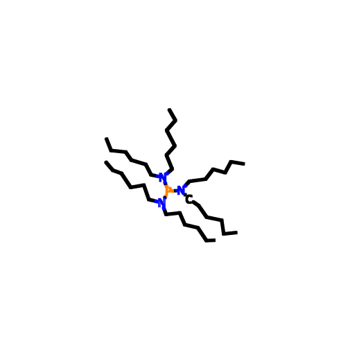 CCCCCCN(CCCCCC)P(N(CCCCCC)CCCCCC)N(CCCCCC)CCCCCC